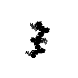 CC1(C)c2ccccc2-c2cc3c4ccccc4n(-c4ccc(-c5ccc6c(c5)C(C)(C)c5cc(-c7ccc(-n8c9c(c%10ccccc%108)C=C8c%10ccccc%10C(C)(C)C8C9)cc7)ccc5N6c5ccccc5)cc4)c3cc21